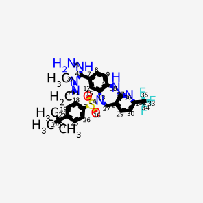 C=NN(C)C(NN)c1ccc2c(c1)N(S(=O)(=O)c1ccc(C(C)(C)C)cc1)Cc1ccc(C(F)(F)F)nc1N2